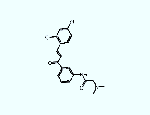 CN(C)CC(=O)Nc1cccc(C(=O)/C=C/c2ccc(Cl)cc2Cl)c1